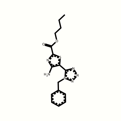 CCCCOC(=O)c1nc(N)c(-c2nnnn2Cc2ccccc2)s1